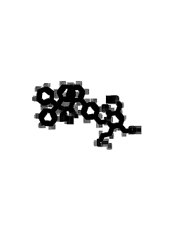 CCCc1c(CO)cc(CO)c(=O)n1Cc1ccc(-c2ccccc2-c2nnnn2C(c2ccccc2)(c2ccccc2)c2ccccc2)cc1